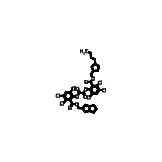 CCCCC1CCC(COC(=O)c2c(Cl)c(Cl)cc(Cl)c2OC(=O)C(=O)Oc2c(Cl)cc(Cl)c(Cl)c2C(=O)OCC2CC3CCCC3C2)C1